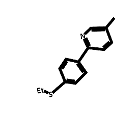 CCSc1ccc(-c2ccc(C)cn2)cc1